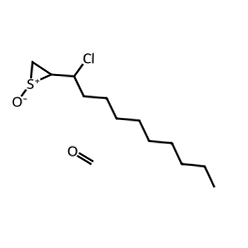 C=O.CCCCCCCCCC(Cl)C1C[S+]1[O-]